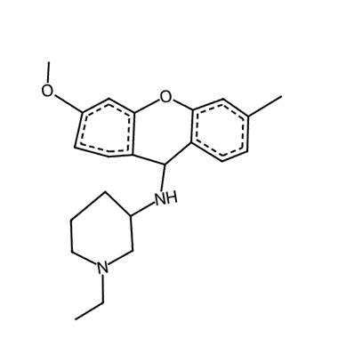 CCN1CCCC(NC2c3ccc(C)cc3Oc3cc(OC)ccc32)C1